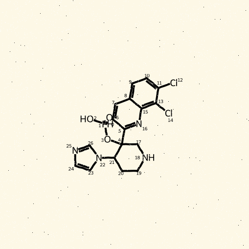 O=[PH](O)OC1(c2ccc3ccc(Cl)c(Cl)c3n2)CNCCC1n1ccnc1